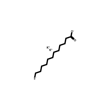 O=C([O-])CCCCCCCCCCC[S-].[K+].[K+]